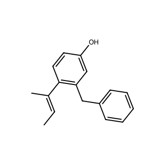 CC=C(C)c1ccc(O)cc1Cc1ccccc1